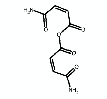 NC(=O)/C=C\C(=O)OC(=O)/C=C\C(N)=O